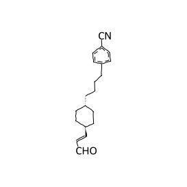 N#Cc1ccc(CCCC[C@H]2CC[C@H](/C=C/C=O)CC2)cc1